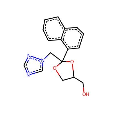 OCC1COC(Cn2cncn2)(c2cccc3ccccc23)O1